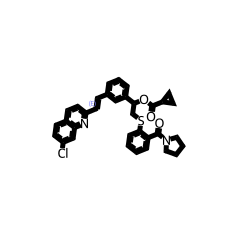 O=C(OC(CSc1ccccc1C(=O)N1CCCC1)c1cccc(/C=C/c2ccc3ccc(Cl)cc3n2)c1)C1CC1